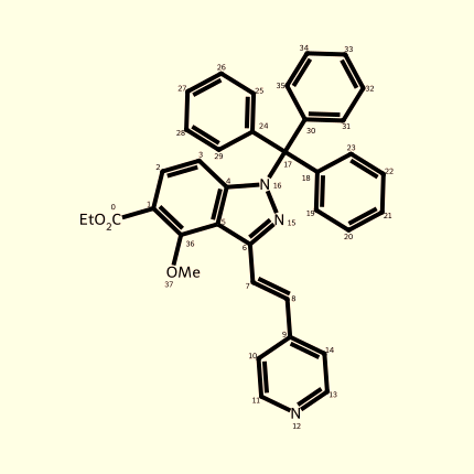 CCOC(=O)c1ccc2c(c(C=Cc3ccncc3)nn2C(c2ccccc2)(c2ccccc2)c2ccccc2)c1OC